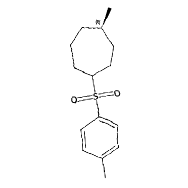 Cc1ccc(S(=O)(=O)C2CCC[C@@H](C)CC2)cc1